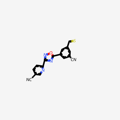 N#Cc1ccc(-c2noc(-c3cc(C#N)cc(C=S)c3)n2)nc1